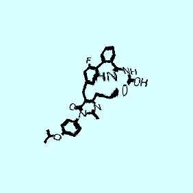 CCCc1nc(C)n(-c2ccc(OC(C)C)cc2)c(=O)c1Cc1ccc(-c2ccccc2C(=N)NC(=O)O)c(F)c1